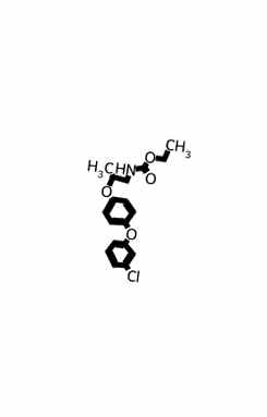 CCOC(=O)NCC(C)Oc1ccc(Oc2cccc(Cl)c2)cc1